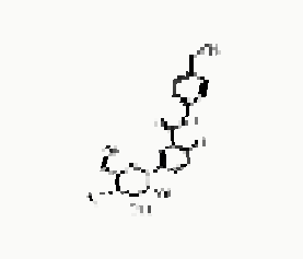 CCc1ccc(NC(=O)c2cc([C@@H]3S[C@H](CO)[C@@H](C)[C@H](O)[C@H]3O)ccc2Cl)cc1